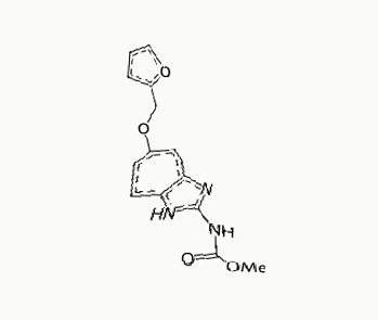 COC(=O)Nc1nc2cc(OCc3ccco3)ccc2[nH]1